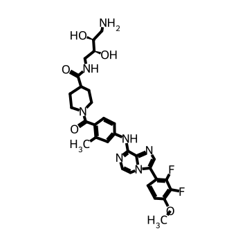 COc1ccc(-c2cnc3c(Nc4ccc(C(=O)N5CCC(C(=O)NC[C@H](O)[C@@H](O)CN)CC5)c(C)c4)nccn23)c(F)c1F